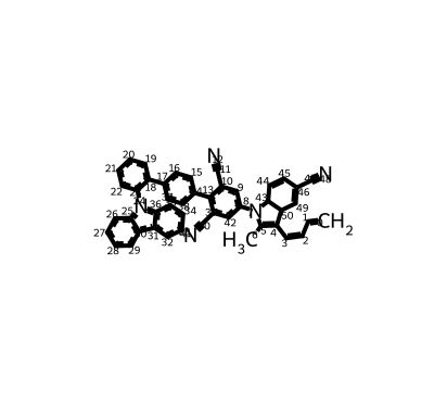 C=C/C=C\C1=C(C)N(c2cc(C#N)c(-c3ccc(-c4ccccc4-n4c5ccccc5c5ccccc54)cc3)c(C#N)c2)C2C=CC(C#N)=CC12